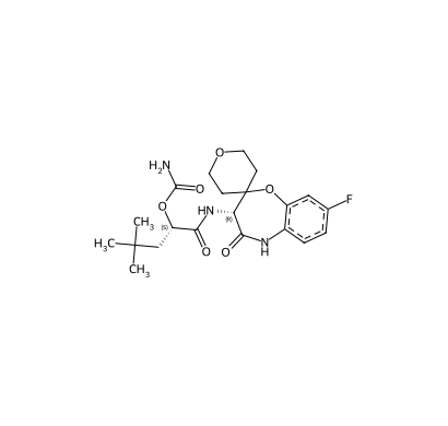 CC(C)(C)C[C@H](OC(N)=O)C(=O)N[C@H]1C(=O)Nc2ccc(F)cc2OC12CCOCC2